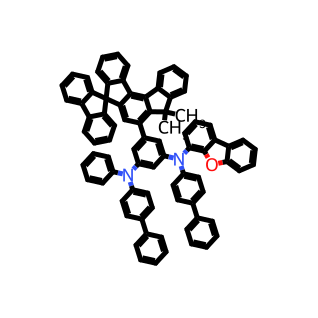 CC1(C)c2ccccc2-c2c3c(cc(-c4cc(N(c5ccccc5)c5ccc(-c6ccccc6)cc5)cc(N(c5ccc(-c6ccccc6)cc5)c5cccc6c5oc5ccccc56)c4)c21)C1(c2ccccc2-c2ccccc21)c1ccccc1-3